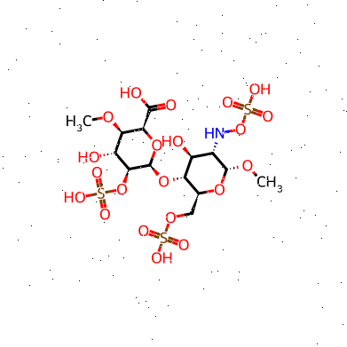 CO[C@@H]1O[C@@H](COS(=O)(=O)O)[C@H](O[C@@H]2O[C@H](C(=O)O)[C@H](OC)[C@@H](O)[C@@H]2OS(=O)(=O)O)[C@@H](O)[C@@H]1NOS(=O)(=O)O